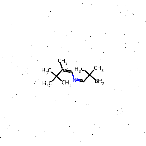 BC(C)(C)/C=N\C=C(\C)C(C)(C)C